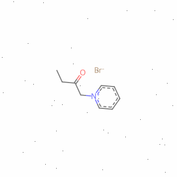 CCC(=O)C[n+]1ccccc1.[Br-]